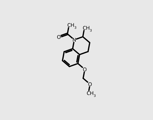 COCOc1cccc2c1CCC(C)N2C(C)=O